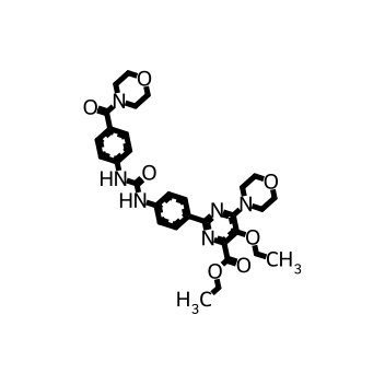 CCOC(=O)c1nc(-c2ccc(NC(=O)Nc3ccc(C(=O)N4CCOCC4)cc3)cc2)nc(N2CCOCC2)c1OCC